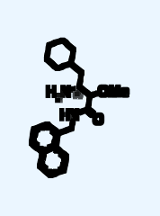 COC(C(=O)NCc1cccc2ccccc12)[C@H](N)CC1CCCCC1